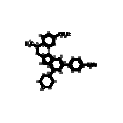 CCOC(=O)c1cnc(N(C)Cc2cc3nc(-c4ccc(NC)cc4)nc(N4CCOCC4)c3s2)nc1